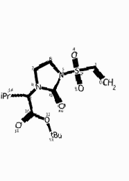 C=CS(=O)(=O)N1CCN(C(C(=O)OC(C)(C)C)C(C)C)C1=O